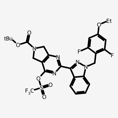 CCOc1cc(F)c(Cn2nc(-c3nc4c(c(OS(=O)(=O)C(F)(F)F)n3)CN(C(=O)OC(C)(C)C)C4)c3ccccc32)c(F)c1